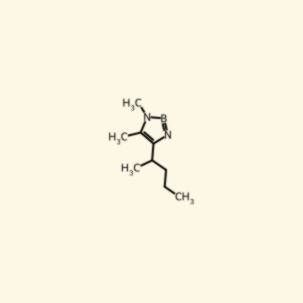 CCCC(C)c1nbn(C)c1C